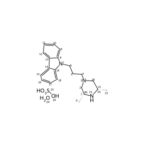 C[C@@H]1CN(CCCn2c3ccccc3c3ccccc32)C[C@H](C)N1.O.O=S(=O)(O)O